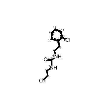 O=C(NCCCl)NCCc1ccccc1Cl